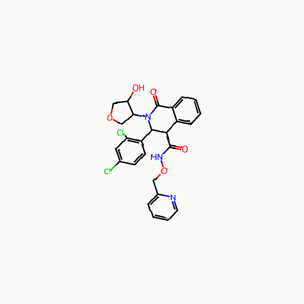 O=C(NOCc1ccccn1)C1c2ccccc2C(=O)N(C2COCC2O)C1c1ccc(Cl)cc1Cl